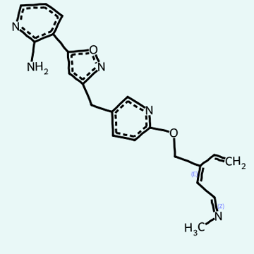 C=C/C(=C\C=N/C)COc1ccc(Cc2cc(-c3cccnc3N)on2)cn1